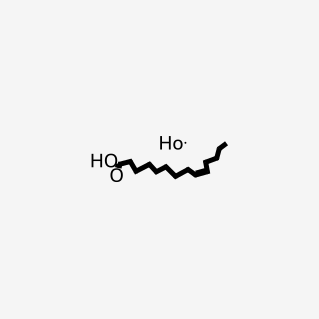 CCCC/C=C\CCCCCCCC(=O)O.[Ho]